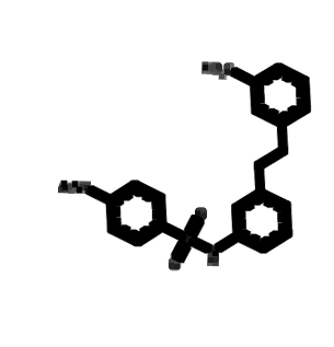 CC(=O)Nc1ccc(S(=O)(=O)Nc2cccc(CCc3cccc(C(=O)O)c3)c2)cc1